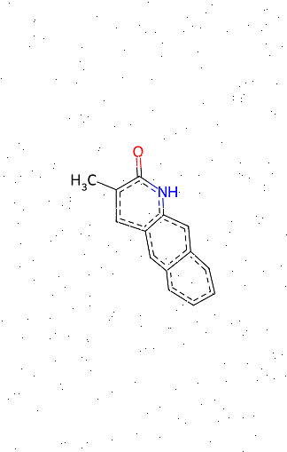 Cc1cc2cc3ccccc3cc2[nH]c1=O